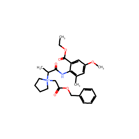 CCOC(=O)c1cc(OC)cc(C)c1NC(=O)C(C)[N+]1(CC(=O)OCc2ccccc2)CCCC1